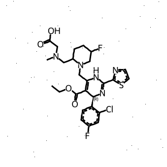 CCOC(=O)C1=C(CN2CC(F)CCC2CN(C)CC(=O)O)NC(c2nccs2)=N[C@H]1c1ccc(F)cc1Cl